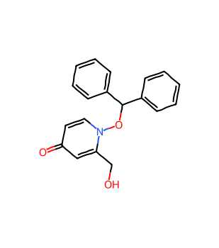 O=c1ccn(OC(c2ccccc2)c2ccccc2)c(CO)c1